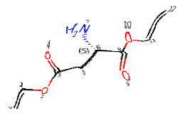 C=COC(=O)C[C@H](N)C(=O)OC=C